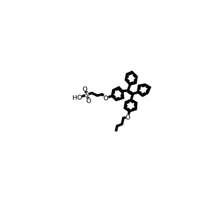 CCCCOc1ccc(C(=C(c2ccccc2)c2ccc(OCCCS(=O)(=O)O)cc2)c2ccccc2)cc1